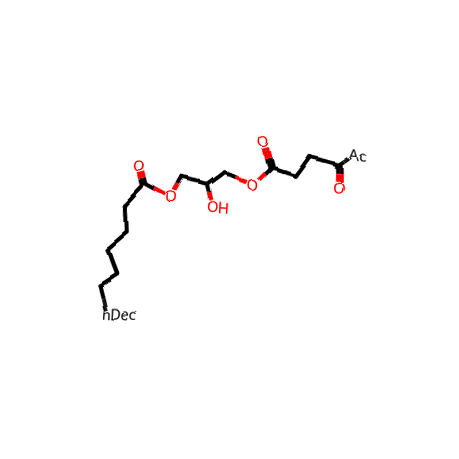 CCCCCCCCCCCCCCCC(=O)OCC(O)COC(=O)CCC(=O)C(C)=O